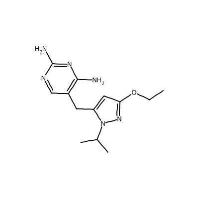 CCOc1cc(Cc2cnc(N)nc2N)n(C(C)C)n1